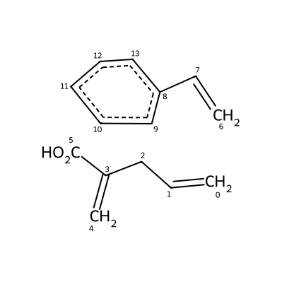 C=CCC(=C)C(=O)O.C=Cc1ccccc1